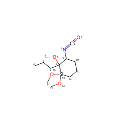 CCCC1(OC)C(N=C=O)CCC[Si]1(OC)OC